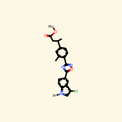 Cc1cc(C(C)CC(=O)OC(C)(C)C)ccc1-c1noc(-c2ccc3c(c2)c(Cl)cn3C(C)C)n1